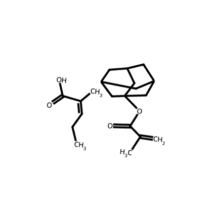 C=C(C)C(=O)OC12CC3CC(CC(C3)C1)C2.CCC=C(C)C(=O)O